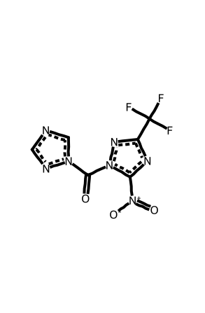 O=C(n1cncn1)n1nc(C(F)(F)F)nc1[N+](=O)[O-]